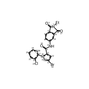 CCN1C(=O)c2ccc(NC(=O)c3cc(Br)nn3-c3ncccc3Cl)cc2C1=O